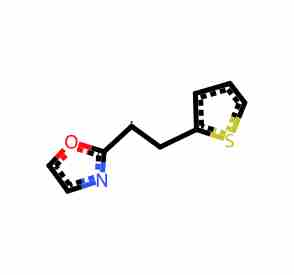 [CH](Cc1cccs1)c1ncco1